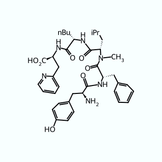 CCCC[C@H](NC(=O)[C@H](CC(C)C)N(C)C(=O)[C@H](Cc1ccccc1)NC(=O)[C@@H](N)Cc1ccc(O)cc1)C(=O)N[C@@H](Cc1ccccn1)C(=O)O